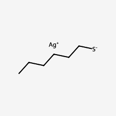 CCCCCC[S-].[Ag+]